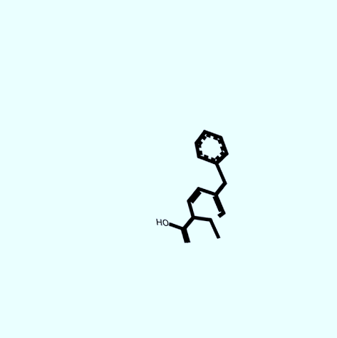 C=C(O)C(/C=C\C(=C/C)Cc1ccccc1)CC